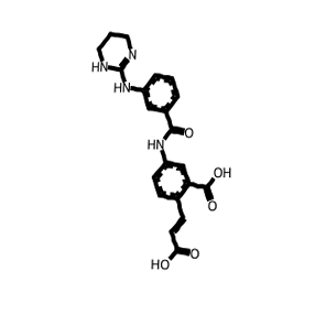 O=C(O)/C=C/c1ccc(NC(=O)c2cccc(NC3=NCCCN3)c2)cc1C(=O)O